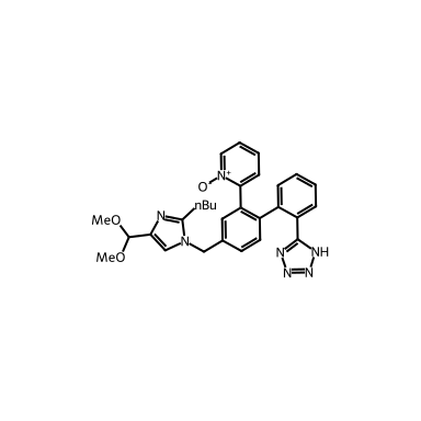 CCCCc1nc(C(OC)OC)cn1Cc1ccc(-c2ccccc2-c2nnn[nH]2)c(-c2cccc[n+]2[O-])c1